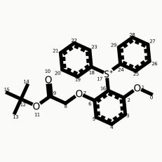 COc1cccc(OCC(=O)OC(C)(C)C)c1[S+](c1ccccc1)c1ccccc1